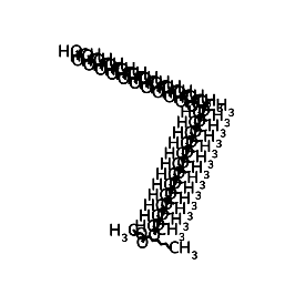 CC(=O)O.CC(=O)O.CC(=O)O.CC(=O)O.CC(=O)O.CC(=O)O.CC(=O)O.CC(=O)O.CC(=O)O.CC(=O)O.CC(=O)O.CC(=O)O.CC(=O)O.CC(=O)O.CC(=O)O.CC(=O)O.CC(=O)O.CC(=O)O.CC(=O)O.CC(=O)O.CC(=O)O.CC(=O)O.CC(=O)O.CC(=O)O.CCCCCCCC(=O)OCC